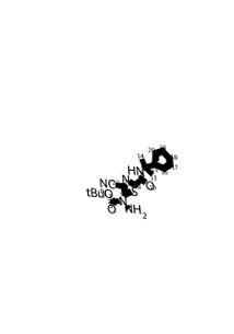 CC(C)(C)OC(=O)N(N)c1sc(C(=O)NC(C)(C)c2ccccc2)nc1C#N